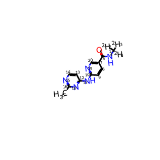 [2H]C([2H])([2H])NC(=O)c1ccc(Nc2ccnc(C)n2)nc1